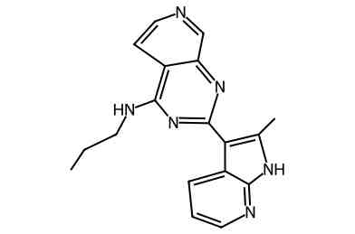 CCCNc1nc(-c2c(C)[nH]c3ncccc23)nc2cnccc12